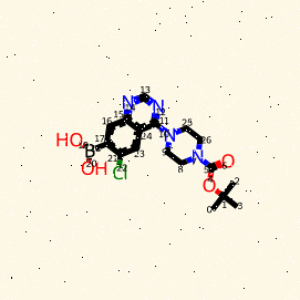 CC(C)(C)OC(=O)N1CCN(c2ncnc3cc(B(O)O)c(Cl)cc23)CC1